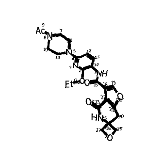 CCOc1nc(N2CCN(C(C)=O)CC2)ccc1NC(=O)c1coc2c1C(=O)NC1(COC1)C2